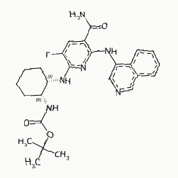 CC(C)(C)OC(=O)N[C@@H]1CCCC[C@@H]1Nc1nc(Nc2cncc3ccccc23)c(C(N)=O)cc1F